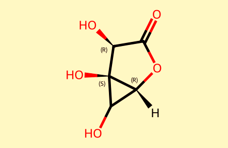 O=C1O[C@@H]2C(O)[C@]2(O)[C@H]1O